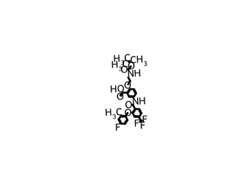 Cc1cc(F)ccc1Oc1cc(C(F)(F)F)ccc1C(=O)Nc1ccc(OCCNC(=O)OC(C)(C)C)c(C(=O)O)c1